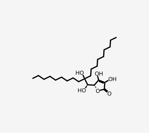 CCCCCCCCCC(O)(CCCCCCCCC)[C@H](O)[C@H]1OC(=O)C(O)=C1O